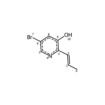 CC=Cc1ncc(Br)cc1O